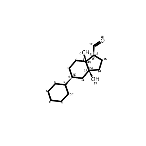 C[C@]12CC[C@H](C3CCCCC3)C[C@@]1(O)CC[C@@H]2C=O